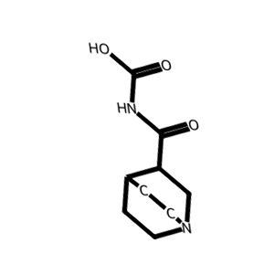 O=C(O)NC(=O)C1CN2CCC1CC2